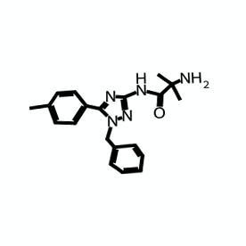 Cc1ccc(-c2nc(NC(=O)C(C)(C)N)nn2Cc2ccccc2)cc1